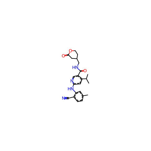 Cc1ccc(C#N)c(Nc2cc(C(C)C)c(C(=O)NCC3CCOC(=O)C3)cn2)c1